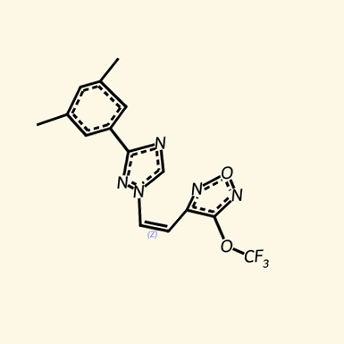 Cc1cc(C)cc(-c2ncn(/C=C\c3nonc3OC(F)(F)F)n2)c1